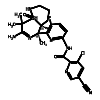 CC1(C)C(N)=N[C@](C)(c2nc(NC(=O)c3ncc(C#N)cc3Cl)ccc2F)[C@@H]2CCCN[SH]21=O